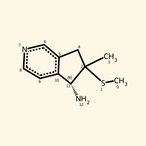 CSC1(C)Cc2cnccc2[C@H]1N